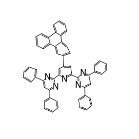 c1ccc(-c2cc(-c3ccccc3)nc(-c3cc(-c4ccc5c6ccccc6c6ccccc6c5c4)cc(-c4nc(-c5ccccc5)cc(-c5ccccc5)n4)n3)n2)cc1